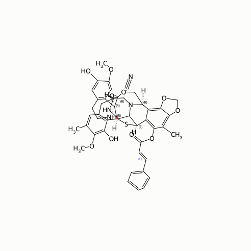 COc1cc2c(cc1O)CCN[C@]21CS[C@@H]2c3c(OC(=O)/C=C/c4ccccc4)c(C)c4c(c3[C@H](COC1=O)N1C2[C@@H]2N[C@H](Cc3cc(C)c(OC)c(O)c32)[C@@H]1C#N)OCO4